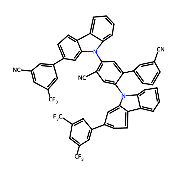 N#Cc1cccc(-c2cc(-n3c4ccccc4c4ccc(-c5cc(C#N)cc(C(F)(F)F)c5)cc43)c(C#N)cc2-n2c3ccccc3c3ccc(-c4cc(C(F)(F)F)cc(C(F)(F)F)c4)cc32)c1